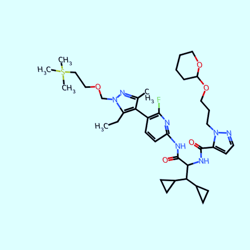 CCc1c(-c2ccc(NC(=O)C(NC(=O)c3ccnn3CCCOC3CCCCO3)C(C3CC3)C3CC3)nc2F)c(C)nn1COCCS(C)(C)C